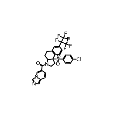 O=C(c1ccc2cncn2c1)N1CCC2(S(=O)(=O)c3ccc(Cl)cc3)c3ccc(C(F)(C(F)(F)F)C(F)(F)F)cc3CCC12